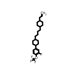 C=CCC1CCC(CCCCC2CCC(c3ccc(OC(F)(F)F)c(F)c3)CC2)CC1